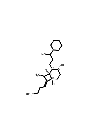 CC[C@]12CC[C@@H](O)[C@H](CCC(O)C3CCCCC3)[C@H]1C(C)C2=CCCC(=O)O